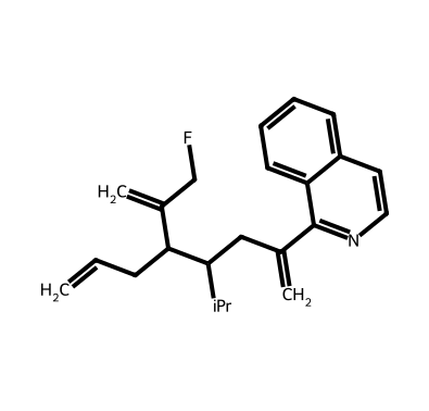 C=CCC(C(=C)CF)C(CC(=C)c1nccc2ccccc12)C(C)C